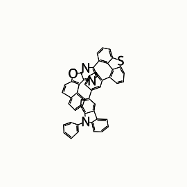 c1ccc(-n2c3ccccc3c3cc(-c4cccc(-c5cccc6sc7cccc(-c8cnc9c(n8)oc8ccc%10ccccc%10c89)c7c56)c4)ccc32)cc1